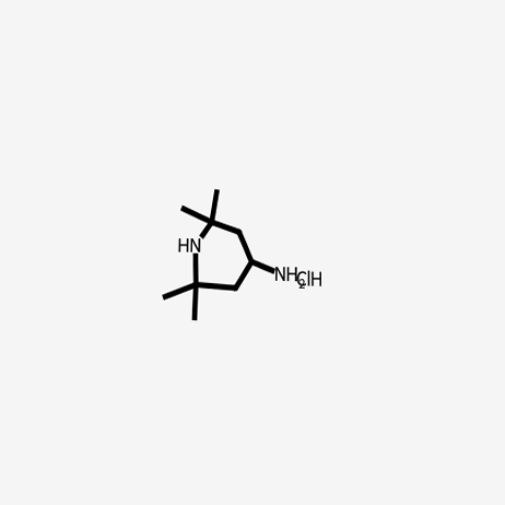 CC1(C)CC(N)CC(C)(C)N1.Cl